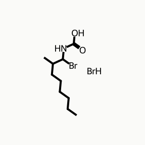 Br.CCCCCCC(C)C(Br)NC(=O)O